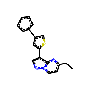 CCc1ccn2ncc(-c3cc(-c4ccccc4)cs3)c2n1